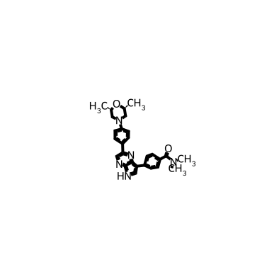 C[C@@H]1CN(c2ccc(-c3cnc4[nH]cc(-c5ccc(C(=O)N(C)C)cc5)c4n3)cc2)C[C@H](C)O1